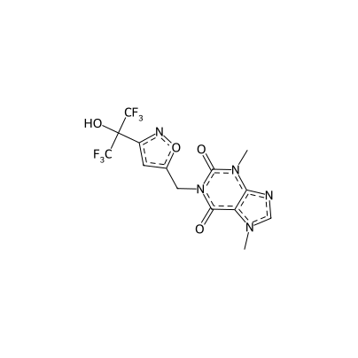 Cn1cnc2c1c(=O)n(Cc1cc(C(O)(C(F)(F)F)C(F)(F)F)no1)c(=O)n2C